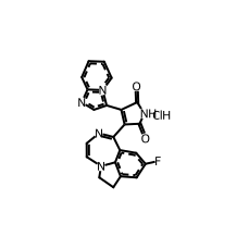 Cl.O=C1NC(=O)C(c2cnc3ccccn23)=C1C1=NC=CN2CCc3cc(F)cc1c32